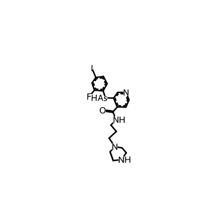 O=C(NCCCN1CCNCC1)c1ccncc1[AsH]c1ccc(I)cc1F